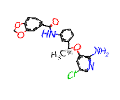 C[C@@H](Oc1cc(Cl)cnc1N)c1cccc(NC(=O)c2ccc3c(c2)OCO3)c1